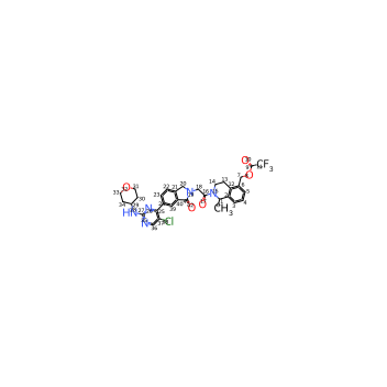 CC1c2cccc(COC(=O)C(F)(F)F)c2CCN1C(=O)CN1Cc2ccc(-c3nc(NC4CCOCC4)ncc3Cl)cc2C1=O